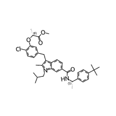 COC(=O)[C@@H](C)Oc1cc(Cc2c(C)n(CC(C)C)c3cc(C(=O)N[C@@H](C)c4ccc(C(C)(C)C)cc4)ccc23)ccc1Cl